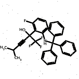 CC(C)C#CC(O)(c1c(F)cccc1NC(c1ccccc1)(c1ccccc1)c1ccccc1)C(F)(F)F